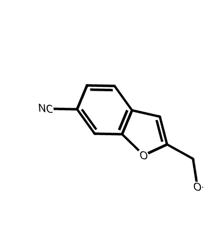 N#Cc1ccc2cc(C[O])oc2c1